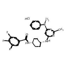 Cc1nc(N[C@H]2CC[C@@H](NC(=O)c3cc(F)c(F)c(F)c3)CC2)cc(N(C)c2ccccc2)n1.Cl